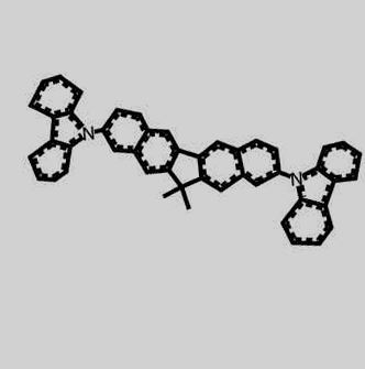 CC1(C)c2cc3cc(-n4c5ccccc5c5ccccc54)ccc3cc2-c2cc3ccc(-n4c5ccccc5c5ccccc54)cc3cc21